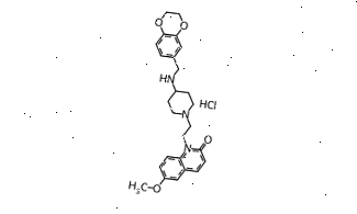 COc1ccc2c(ccc(=O)n2CCN2CCC(NCc3ccc4c(c3)OCCO4)CC2)c1.Cl